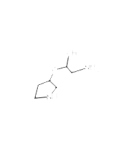 CC(CN)OC1CCNC1